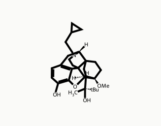 CO[C@]12CCC3(C[C@@H]1[C@](C)(O)C(C)(C)C)[C@H]1Cc4ccc(O)c5c4C3(CCN1CC1CC1)[C@@H]2O5